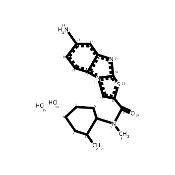 CC1CCCCC1N(C)C(=O)c1cn2c(nc3cc(N)ccc32)s1.Cl.Cl